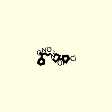 O=C(c1ccccc1)C(CCN1CCC(O)(c2ccc(Cl)cc2)CC1)[N+](=O)[O-]